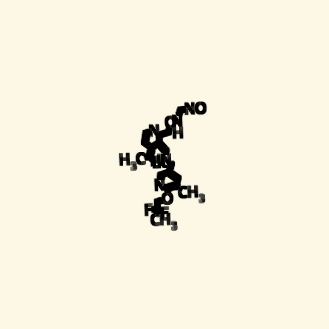 CC/C(C)=c1/ccnc(CONCN=O)/c1=C/NCc1cnc(OCC(C)(F)F)c(C)c1